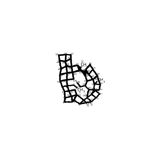 CCC12C3C4C5CC6C7C8C9C%10CC%11C%12C%13C%14C%15CC%16C%17C%18C(C)(C%17%19C%17C(CI)[C@H]%20C9(C8(C)C78CC41C658)C%10%11C%12%20C%13(C)C%14%17C%15%16%19)C14CC25C3C2C3C6CC7CC8C76C3(C8%181)C254